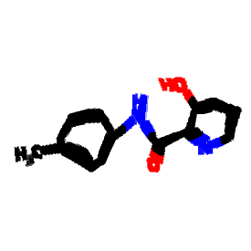 Cc1ccc(NC(=O)c2ncccc2O)cc1